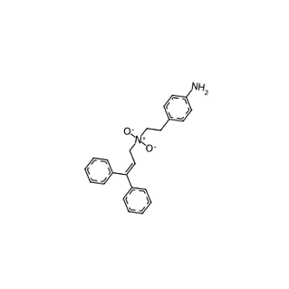 Nc1ccc(CC[N+]([O-])([O-])CC=C(c2ccccc2)c2ccccc2)cc1